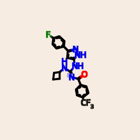 O=C(/N=C(\Nc1cc(-c2ccc(F)cc2)n[nH]1)NC1CCC1)c1ccc(C(F)(F)F)cc1